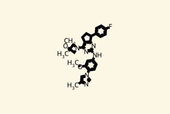 COc1cc(Nc2nc3c(c(N4CC(C)(OC)C4)n2)CCC3c2ccc(F)cc2)ccc1-n1cnc(C)c1